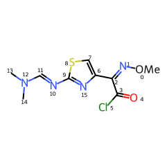 CON=C(C(=O)Cl)c1csc(N=CN(C)C)n1